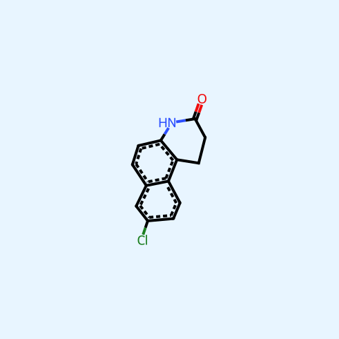 O=C1CCc2c(ccc3cc(Cl)ccc23)N1